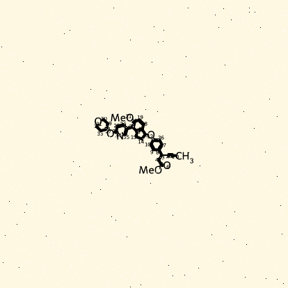 CC#C[C@@H](CC(=O)OC)c1ccc(O[C@@H]2CCc3c2ccc(OC)c3-c2ccc(OC3CCOCC3)nc2)cc1